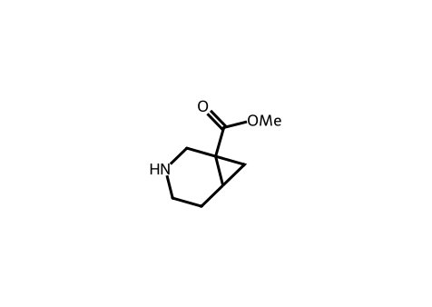 COC(=O)C12CNCCC1C2